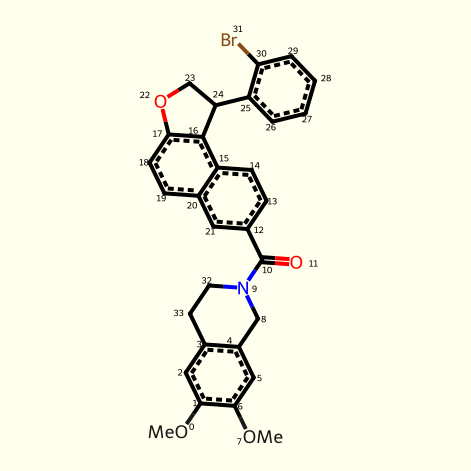 COc1cc2c(cc1OC)CN(C(=O)c1ccc3c4c(ccc3c1)OCC4c1ccccc1Br)CC2